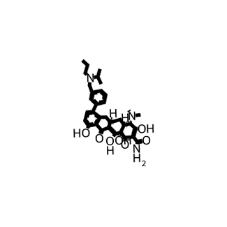 CCCN(Cc1cccc(-c2ccc(O)c3c2C[C@H]2C[C@H]4[C@H](N(C)C)C(O)=C(C(N)=O)C(=O)[C@@]4(O)C(O)=C2C3=O)c1)C(C)C